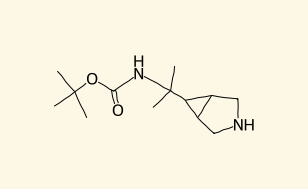 CC(C)(C)OC(=O)NC(C)(C)C1C2CNCC21